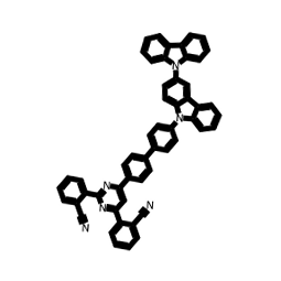 N#Cc1ccccc1-c1cc(-c2ccc(-c3ccc(-n4c5ccccc5c5cc(-n6c7ccccc7c7ccccc76)ccc54)cc3)cc2)nc(-c2ccccc2C#N)n1